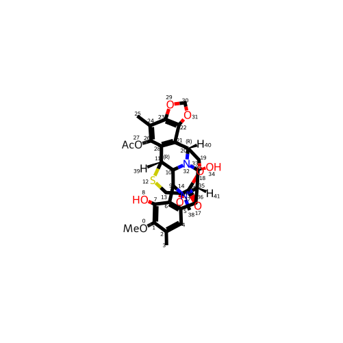 COc1c(C)cc2c(c1O)C1C3[C@@H]4SCC(=O)C(=O)OC[C@@H](c5c6c(c(C)c(OC(C)=O)c54)OCO6)N3[C@@H](O)[C@H](C2)N1C